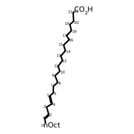 CCCCCCCCC=CCC=CCCCCCCCCCCCCCCCCC(=O)O